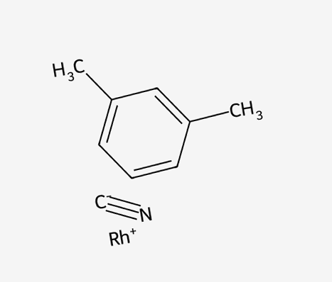 Cc1cccc(C)c1.[C-]#N.[Rh+]